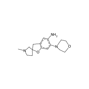 CN1CCC2(Cc3cc(N)c(N4CCOCC4)cc3O2)C1